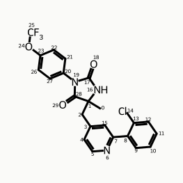 CC1(Cc2ccnc(-c3ccccc3Cl)c2)NC(=O)N(c2ccc(OC(F)(F)F)cc2)C1=O